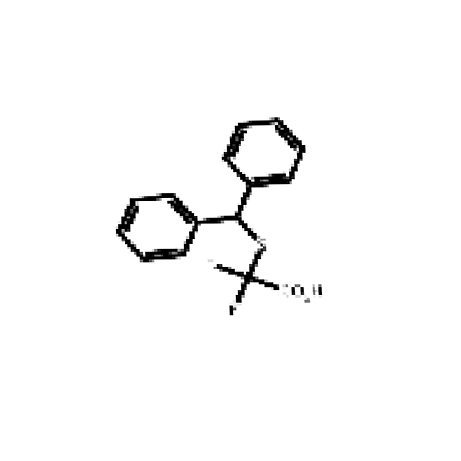 O=C(O)C(F)(F)SC(c1ccccc1)c1ccccc1